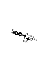 CC(C)(C)OC(=O)N1CC2(C1)CC(F)(F)C2